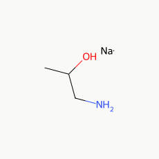 CC(O)CN.[Na]